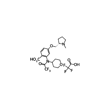 CN1CCC[C@H]1COc1ccc(C(=O)O)c(N(C(=O)C(F)(F)F)C2CCOCC2)c1.O=C(O)C(F)(F)F